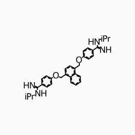 CC(C)NC(=N)c1ccc(OCc2ccc(COc3ccc(C(=N)NC(C)C)cc3)c3ccccc23)cc1